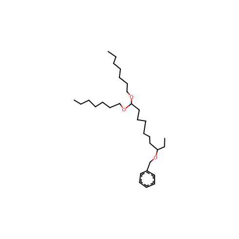 CCCCCCCOC(CCCCCCC(CC)OCc1ccccc1)OCCCCCCC